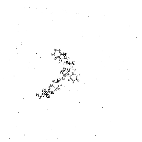 Cn1c(CNC(=O)[C@H](Cc2ccccc2)n2cc(COc3ccc4nc(S(N)(=O)=O)sc4c3)nn2)nc2ccccc21